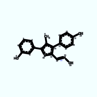 Cc1c(-c2cccc(O)c2)sc(/C=N/O)c1-c1ccc(O)cc1